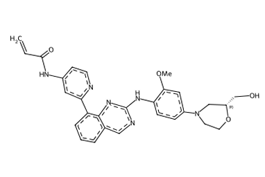 C=CC(=O)Nc1ccnc(-c2cccc3cnc(Nc4ccc(N5CCO[C@@H](CO)C5)cc4OC)nc23)c1